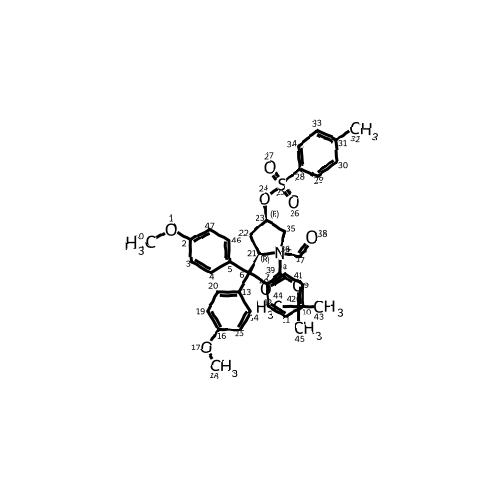 COc1ccc(C(c2ccccc2)(c2ccc(OC)cc2)[C@H]2C[C@@H](OS(=O)(=O)c3ccc(C)cc3)C[N+]2(C=O)C(=O)OC(C)(C)C)cc1